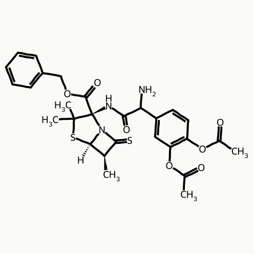 CC(=O)Oc1ccc(C(N)C(=O)N[C@@]2(C(=O)OCc3ccccc3)N3C(=S)[C@@H](C)[C@H]3SC2(C)C)cc1OC(C)=O